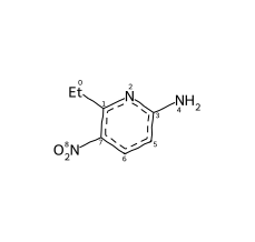 CCc1nc(N)ccc1[N+](=O)[O-]